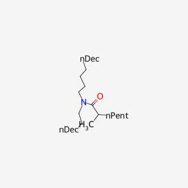 CCCCCCCCCCCCCCN(CCCCCCCCCCCC)C(=O)C(C)CCCCC